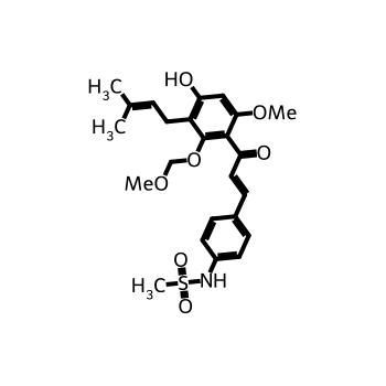 COCOc1c(CC=C(C)C)c(O)cc(OC)c1C(=O)C=Cc1ccc(NS(C)(=O)=O)cc1